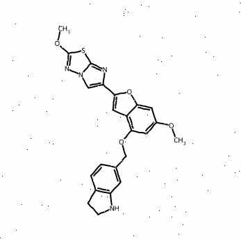 COc1cc(OCc2ccc3c(c2)NCC3)c2cc(-c3cn4nc(OC)sc4n3)oc2c1